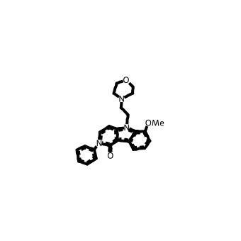 COc1cccc2c3c(=O)n(-c4ccccc4)ccc3n(CCN3CCOCC3)c12